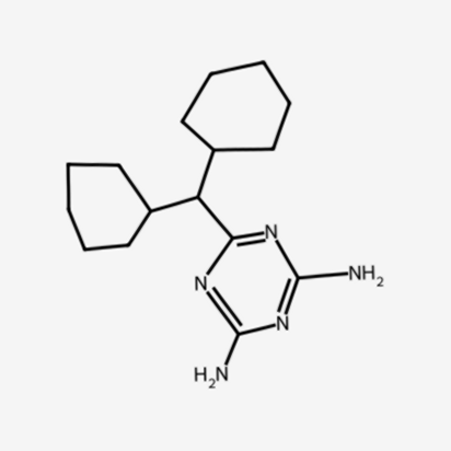 Nc1nc(N)nc(C(C2CCCCC2)C2CCCCC2)n1